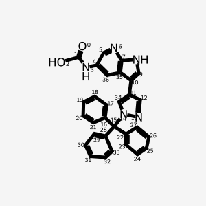 O=C(O)Nc1cnc2[nH]cc(-c3cnn(C(c4ccccc4)(c4ccccc4)c4ccccc4)c3)c2c1